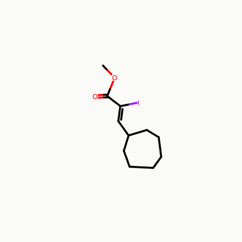 COC(=O)C(I)=CC1CCCCCC1